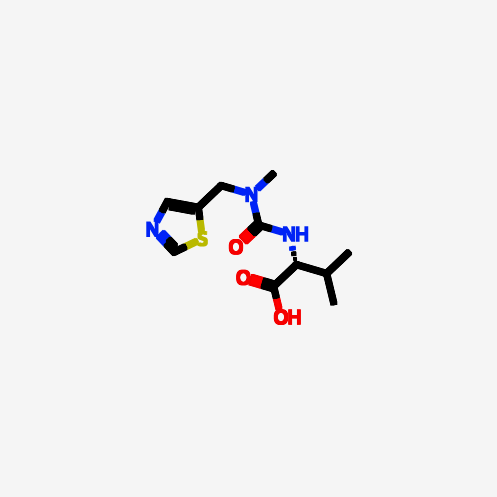 CC(C)[C@@H](NC(=O)N(C)Cc1cncs1)C(=O)O